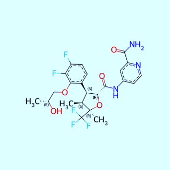 C[C@@H](O)COc1c([C@H]2[C@H](C(=O)Nc3ccnc(C(N)=O)c3)O[C@@](C)(C(F)(F)F)[C@H]2C)ccc(F)c1F